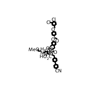 COCCNc1nc(C)c(S(=O)(=O)N2Cc3cc4c(cc3C[C@H]2C(=O)NC(Cc2ccc(-c3ccc(C#N)cc3)cc2)C(=O)O)OC[C@H](c2ccc(OCc3ccc(Cl)c(Cl)c3)cc2)O4)s1